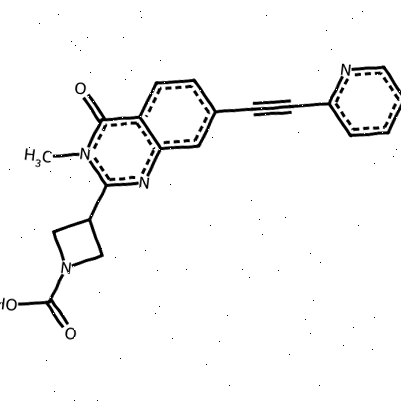 Cn1c(C2CN(C(=O)O)C2)nc2cc(C#Cc3ccccn3)ccc2c1=O